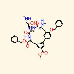 CNC[C@H](O)C[C@@H]1NC(=O)[C@@H](NC)Cc2cc(ccc2OCc2ccccc2)-c2cc(cc(C(=O)OC)c2)C[C@@H](C(=O)OCc2ccccc2)NC1=O